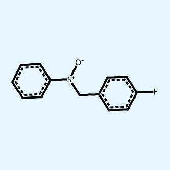 [O-][S+](Cc1ccc(F)cc1)c1ccccc1